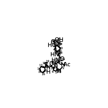 CC(=O)N1CC[C@H]2CC[C@@H](C(=O)NC3(c4ccccc4)CC3)N2C(=O)[C@@H](NC(=O)c2cc3cc(C(F)(F)P(=O)(O)O)ccc3[nH]2)C1